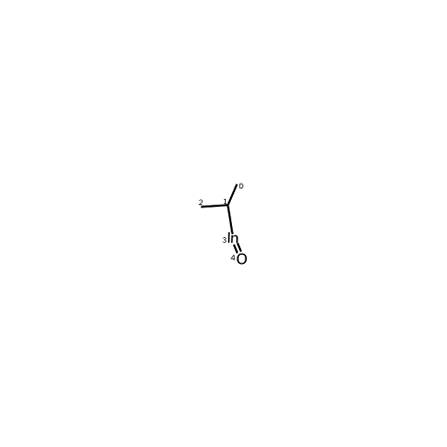 C[CH](C)[In]=[O]